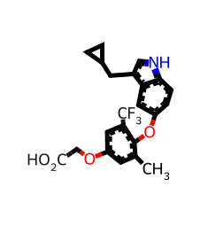 Cc1cc(OCC(=O)O)cc(C(F)(F)F)c1Oc1ccc2[nH]cc(CC3CC3)c2c1